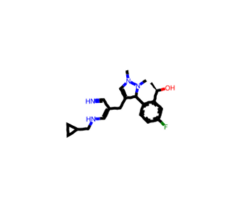 C[C@@H](O)c1cc(F)ccc1C1C(C/C(C=N)=C/NCC2CC2)=CN(C)N1C